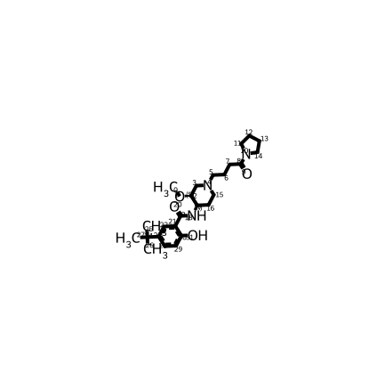 CO[C@H]1CN(CCCC(=O)N2CCCC2)CC[C@H]1NC(=O)c1cc(C(C)(C)C)ccc1O